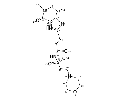 CN1CN(C)c2nc(SCC(=O)NS(=O)(=O)CCN3CCOCC3)[nH]c2C1=O